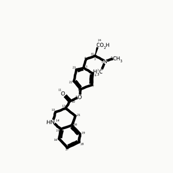 CN(C)[C@@H](Cc1ccc(OC(=O)C2CNc3ccccc3C2)cc1)C(=O)O